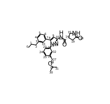 CCCc1cccc(-c2cc(NC(=O)[C@@H]3CNC(=O)C3)nn2-c2cccc(COC(C)C)c2)c1